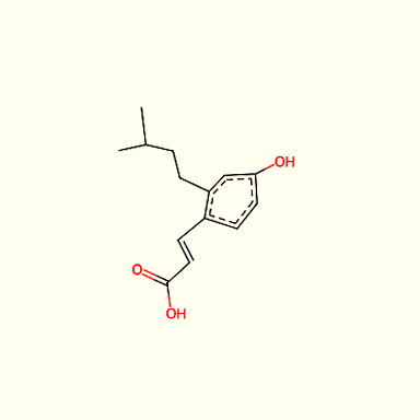 CC(C)CCc1cc(O)ccc1C=CC(=O)O